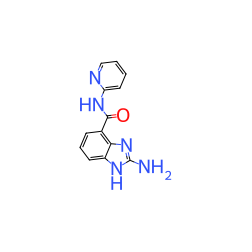 Nc1nc2c(C(=O)Nc3ccccn3)cccc2[nH]1